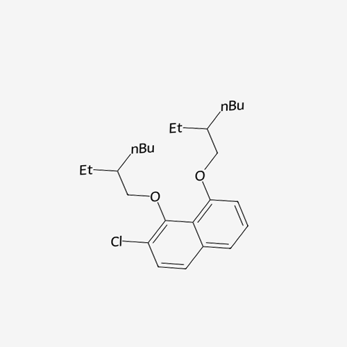 CCCCC(CC)COc1cccc2ccc(Cl)c(OCC(CC)CCCC)c12